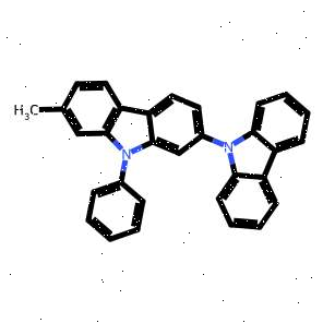 Cc1ccc2c3ccc(-n4c5ccccc5c5ccccc54)cc3n(-c3ccccc3)c2c1